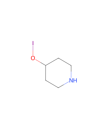 IOC1CCNCC1